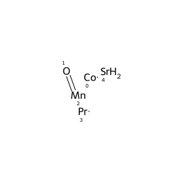 [Co].[O]=[Mn].[Pr].[SrH2]